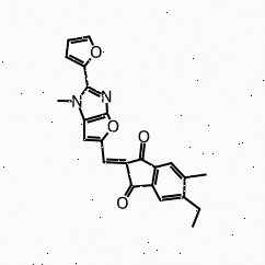 CCc1cc2c(cc1C)C(=O)/C(=C\c1cc3c(nc(-c4ccco4)n3C)o1)C2=O